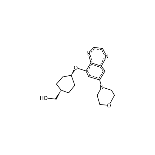 OC[C@H]1CC[C@@H](Oc2cc(N3CCOCC3)cc3nccnc23)CC1